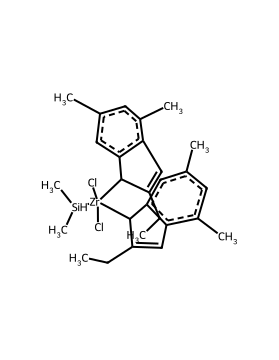 CCC1=Cc2c(C)cc(C)cc2[CH]1[Zr]([Cl])([Cl])([CH]1C(CC)=Cc2c(C)cc(C)cc21)[SiH](C)C